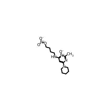 Cc1nc(N2CCCCC2)cc(NCCCCO[N+](=O)[O-])[n+]1[O-]